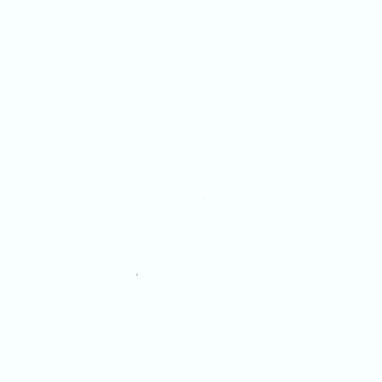 CCCCCCCCCCCCCCC(=O)O.[GaH3]